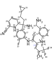 C=C(/C=C(\Nc1cccc(CN)c1)C(=O)Nc1cc(C(N)(CCC2CC2)C2C=CC=C(C#N)N2)ccc1F)C(F)(F)F